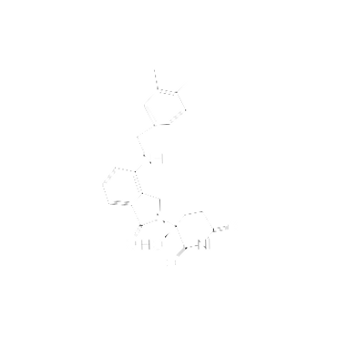 Cc1ccc(CNc2cccc3c2CN([C@]2(O)CCC(=O)NC2=O)C3=O)cc1C